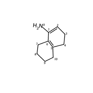 NC1=CCCC2=C1CCCC2